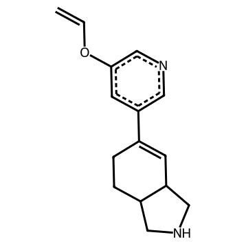 C=COc1cncc(C2=CC3CNCC3CC2)c1